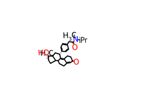 CC(C)N(C)C(=O)Cc1ccc([C@H]2C[C@@]3(C)C(CC[C@@H]3O)C3CCC4=CC(=O)CCC4=C32)cc1